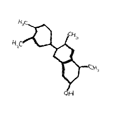 CC1CCC(C2CC3CC(O)CC(C)C3CC2C)CC1C